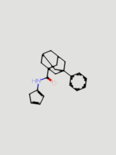 O=C(NC1=CC=CC1)C12CC3CC(C1)CC(c1ccccc1)(C3)C2